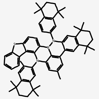 Cc1cc2c3c(c1)N(c1cc4c(cc1C)C(C)(C)CCC4(C)C)c1c(ccc4sc5ccccc5c14)B3N(c1ccc3c(c1)C(C)(C)CCC3(C)C)c1cc3c(cc1-2)C(C)(C)CCC3(C)C